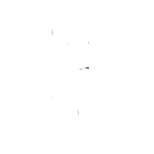 CCCCC[C@@H](/C=C/[C@H]1CC(=O)C[C@H]1O)OC(C)=O